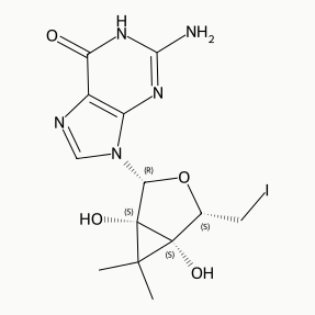 CC1(C)[C@]2(O)[C@@H](CI)O[C@@H](n3cnc4c(=O)[nH]c(N)nc43)[C@]12O